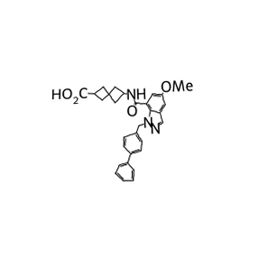 COc1cc(C(=O)NC2CC3(C2)CC(C(=O)O)C3)c2c(cnn2Cc2ccc(-c3ccccc3)cc2)c1